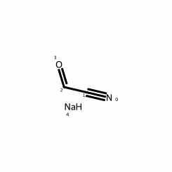 N#CC=O.[NaH]